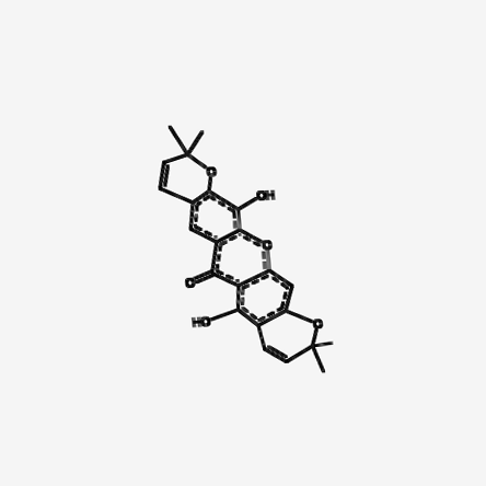 CC1(C)C=Cc2c(cc3oc4c(O)c5c(cc4c(=O)c3c2O)C=CC(C)(C)O5)O1